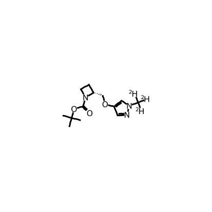 [2H]C([2H])([2H])n1cc(OC[C@H]2CCN2C(=O)OC(C)(C)C)cn1